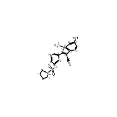 Cn1c(-c2cncc(OS(=O)(=O)N3CCCC3)c2)c(C#N)c2ccc(Cl)cc21